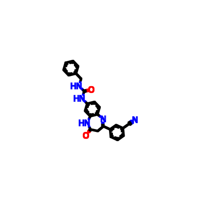 N#Cc1cccc(C2=Nc3ccc(NC(=O)NCc4ccccc4)cc3NC(=O)C2)c1